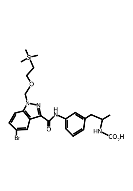 CC(Cc1cccc(NC(=O)c2nn(COCC[Si](C)(C)C)c3ccc(Br)cc23)c1)NC(=O)O